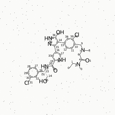 CCN(C)C(=O)CN(C)Cc1ccc(-c2c(-c3c[nH]c(C(=O)N[C@H](CO)c4cccc(Cl)c4)c3)n[nH]c2O)cc1Cl